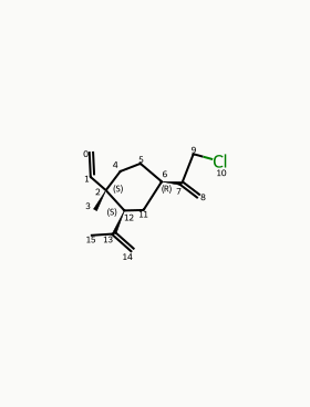 C=C[C@]1(C)CC[C@@H](C(=C)CCl)C[C@H]1C(=C)C